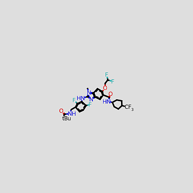 Cn1c(Nc2c(F)ccc(CNC(=O)C(C)(C)C)c2F)nc2cc(C(=O)NC3CCC(C(F)(F)F)CC3)c(OCC(F)F)cc21